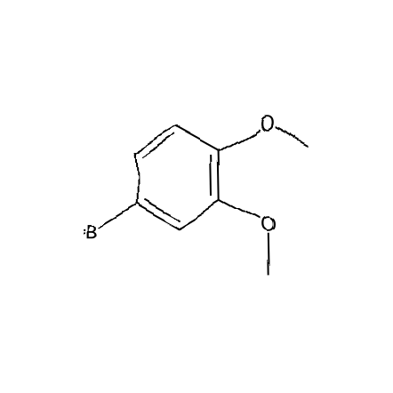 [B]c1ccc(OC)c(OC)c1